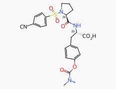 [C-]#[N+]c1ccc(S(=O)(=O)N2CCC[C@H]2C(=O)N[C@@H](Cc2ccc(OC(=O)N(C)C)cc2)C(=O)O)cc1